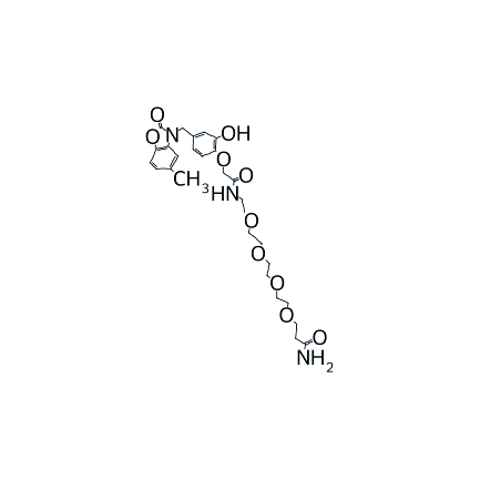 Cc1ccc2oc(=O)n(Cc3ccc(OCC(=O)NCCOCCOCCOCCOCCC(N)=O)c(O)c3)c2c1